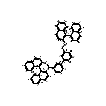 c1cc(COc2ccc3ccccc3c2-c2cccc3ccccc23)cc(-c2cccc(COc3ccc4ccccc4c3-c3cccc4ccccc34)c2)c1